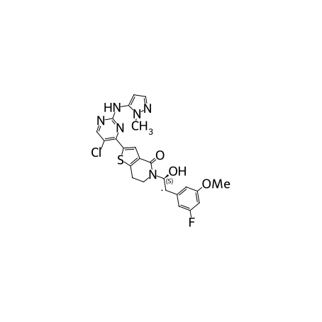 COc1cc(F)cc([CH][C@H](O)N2CCc3sc(-c4nc(Nc5ccnn5C)ncc4Cl)cc3C2=O)c1